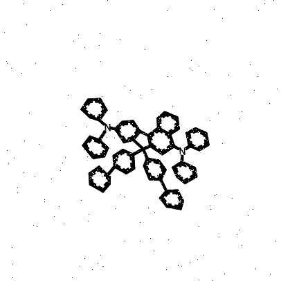 c1ccc(-c2ccc(C3(c4ccc(-c5ccccc5)cc4)c4cc(N(c5ccccc5)c5ccccc5)ccc4-c4c3cc(N(c3ccccc3)c3ccccc3)c3ccccc43)cc2)cc1